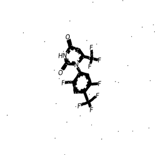 O=c1cc(C(F)(F)F)n(-c2cc(F)c(C(F)(F)F)cc2F)c(=O)[nH]1